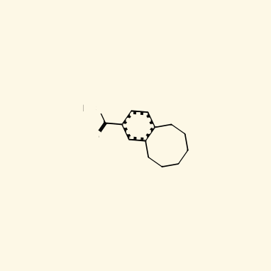 CC(=O)c1ccc2c(c1)CCCCCC2